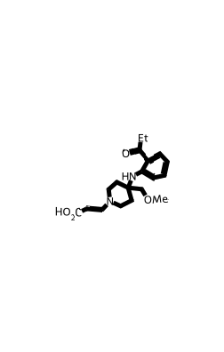 CCC(=O)c1ccccc1NC1(COC)CCN(CCC(=O)O)CC1